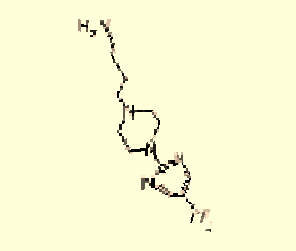 NCCCCN1CCN(c2ncc(C(F)(F)F)cn2)CC1